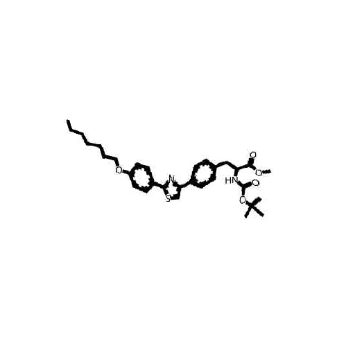 CCCCCCCOc1ccc(-c2nc(-c3ccc(CC(NC(=O)OC(C)(C)C)C(=O)OC)cc3)cs2)cc1